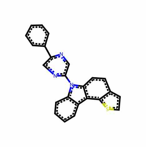 c1ccc(-c2cnc(-n3c4ccccc4c4c5sccc5ccc43)cn2)cc1